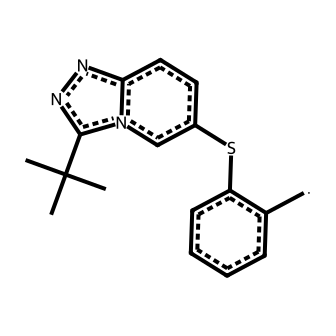 [CH2]c1ccccc1Sc1ccc2nnc(C(C)(C)C)n2c1